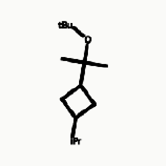 CC(C)C1CC(C(C)(C)OC(C)(C)C)C1